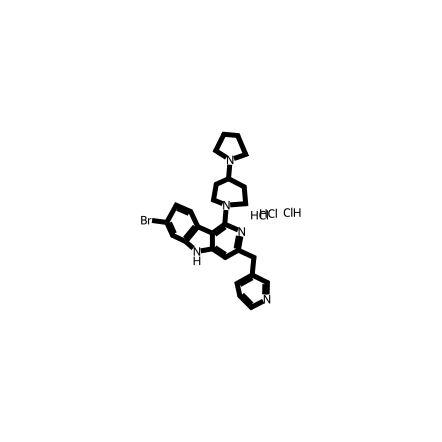 Brc1ccc2c(c1)[nH]c1cc(Cc3cccnc3)nc(N3CCC(N4CCCC4)CC3)c12.Cl.Cl.Cl